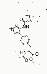 COC(=O)C(Cc1ccc(-c2cn(C)nc2NC(=O)OC(C)(C)C)cc1)NC(C)=O